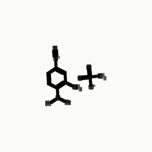 CCN(CC)c1ccc([N+]#N)cc1C.O=S(=O)([O-])C(F)(F)F